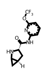 O=C(Nc1cccc(OC(F)(F)F)n1)[C@@H]1C[C@H]2CC2N1